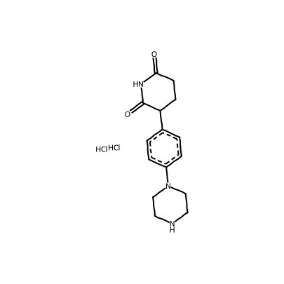 Cl.Cl.O=C1CCC(c2ccc(N3CCNCC3)cc2)C(=O)N1